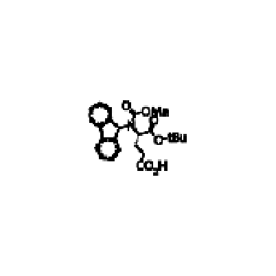 COC(=O)N(C1c2ccccc2-c2ccccc21)[C@@H](CCC(=O)O)C(=O)OC(C)(C)C